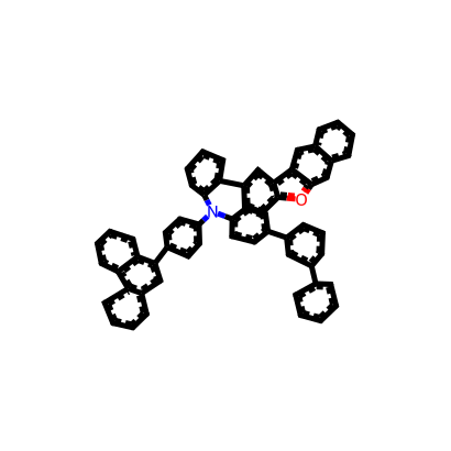 c1ccc(-c2cccc(-c3ccc(N(c4ccc(-c5cc6ccccc6c6ccccc56)cc4)c4ccccc4-c4ccc5oc6cc7ccccc7cc6c5c4)cc3)c2)cc1